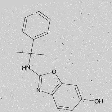 CC(C)(Nc1nc2ccc(O)cc2o1)c1ccccc1